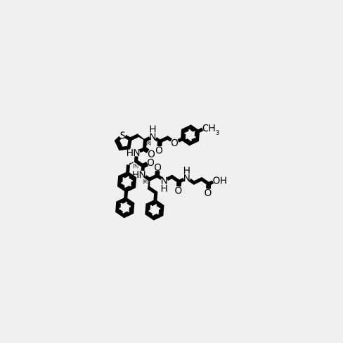 Cc1ccc(OCC(=O)N[C@H](CC2CC=CS2)C(=O)N[C@@H](Cc2ccc(-c3ccccc3)cc2)C(=O)N[C@H](CCc2ccccc2)C(=O)NCC(=O)NCCC(=O)O)cc1